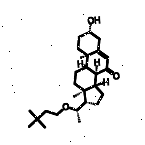 C[C@H](OCCC(C)(C)C)[C@H]1CC[C@H]2[C@@H]3C(=O)C=C4C[C@@H](O)CC[C@]4(C)[C@H]3CC[C@]12C